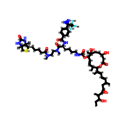 CCC(O)C(C)C1OC1CC(C)/C=C/C=C(\C)C1OC(=O)CC(O)CCC(C)(O)C(OC(=O)NCCCC[C@H](NC(=O)c2ccc(C3(C(F)(F)F)N=N3)cc2)C(=O)N(C)CCN(C)C(=O)CCCC[C@@H]2SC[C@@H]3NC(=O)N[C@@H]32)/C=C/C1C